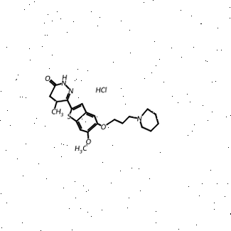 COc1cc2sc(C3=NNC(=O)CC3C)cc2cc1OCCCN1CCCCC1.Cl